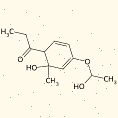 CCC(=O)C1C=CC(OC(C)O)=CC1(C)O